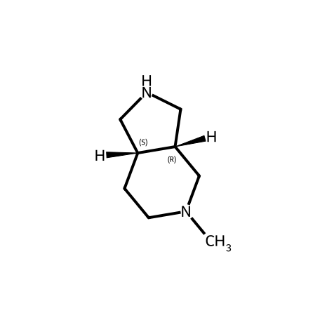 CN1CC[C@@H]2CNC[C@@H]2C1